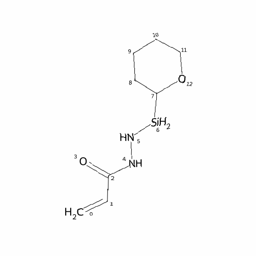 C=CC(=O)NN[SiH2]C1CCCCO1